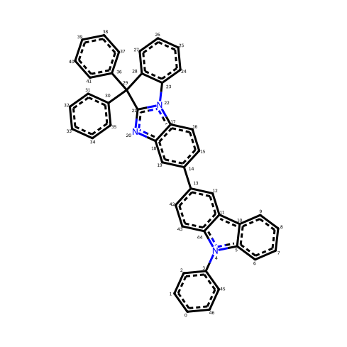 c1ccc(-n2c3ccccc3c3cc(-c4ccc5c(c4)nc4n5-c5ccccc5C4(c4ccccc4)c4ccccc4)ccc32)cc1